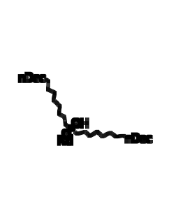 CCCCCCCCCCCCCCCCCCP(=O)(O)CCCCCCCCCCCCCCCCCC.[Nd]